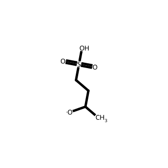 CC([O])CCS(=O)(=O)O